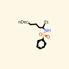 CCCCCCCCCCCCCC(CC)NS(=O)(=O)c1[c]cccc1